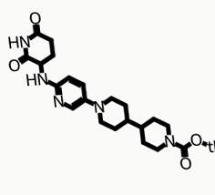 CC(C)(C)OC(=O)N1CCC(C2CCN(c3ccc(NC4CCC(=O)NC4=O)nc3)CC2)CC1